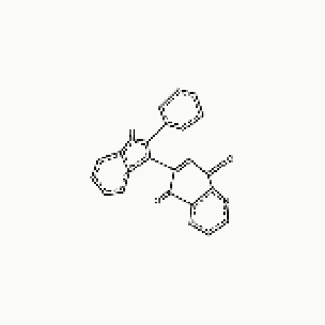 O=C1C(c2c(-c3ccccc3)[nH]c3ccccc23)=CC(=O)c2ncccc21